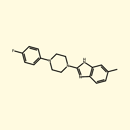 Cc1ccc2nc(N3CCN(c4ccc(F)cc4)CC3)[nH]c2c1